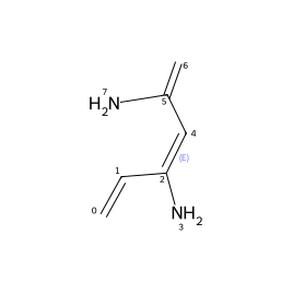 C=C/C(N)=C\C(=C)N